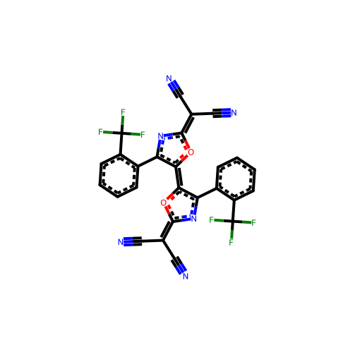 N#CC(C#N)=c1nc(-c2ccccc2C(F)(F)F)/c(=c2\oc(=C(C#N)C#N)nc2-c2ccccc2C(F)(F)F)o1